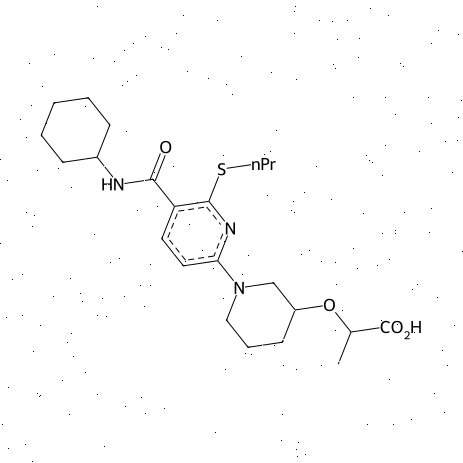 CCCSc1nc(N2CCCC(OC(C)C(=O)O)C2)ccc1C(=O)NC1CCCCC1